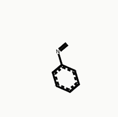 C=Nc1[c]cc[c]c1